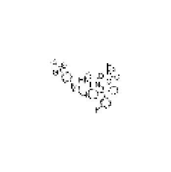 NC(=O)O[C@H]1CCC[C@@H]1[C@](CNC(=O)[C@H]1CCN1)(c1cccc(F)c1)C1CCN(CC2CN(c3ccc(S(=O)(=O)C4CC4)cc3)C2)CC1